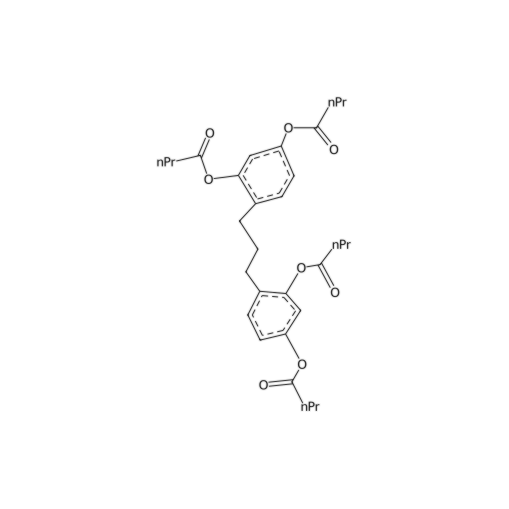 CCCC(=O)Oc1ccc(CCCc2ccc(OC(=O)CCC)cc2OC(=O)CCC)c(OC(=O)CCC)c1